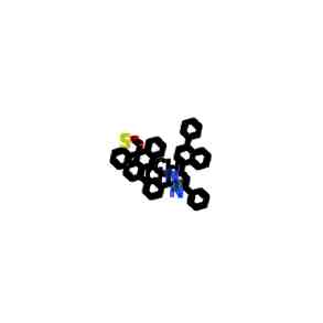 CC1(C)c2ccccc2C2(c3ccccc3Sc3ccccc32)c2cccc(-c3cccc(-c4nc(-c5ccccc5)cc(-c5ccc(-c6ccccc6)c6ccccc56)n4)c3)c21